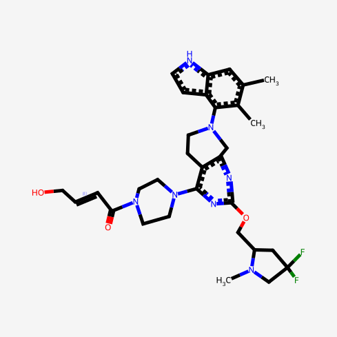 Cc1cc2[nH]ccc2c(N2CCc3c(nc(OCC4CC(F)(F)CN4C)nc3N3CCN(C(=O)/C=C/CO)CC3)C2)c1C